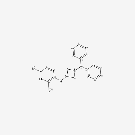 CC/C(=C(\C=C/CBr)OC1CN(C(c2ccccc2)c2ccccc2)C1)C(C)(C)C